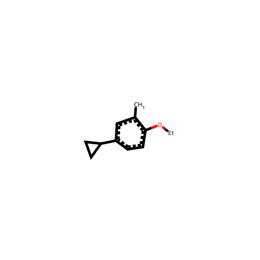 CCOc1ccc(C2CC2)cc1C